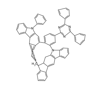 CC12c3ccc4c(cc5c(c4c3)c3ccccc3n5-c3ccccc3)-c3ccc(-c4nc(-c5ccccc5)nc(-c5ccccc5)n4)cc3-n3c4c(c5ccccc53)C=C(c3ccccc31)C2C4